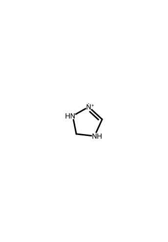 C1=[N+]NCN1